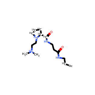 C[13C](=O)[13CH2]CNC(=O)CCN[13C](=O)[13CH]1[13CH2][13CH2][13CH2][15N]1CC[15N](C)C